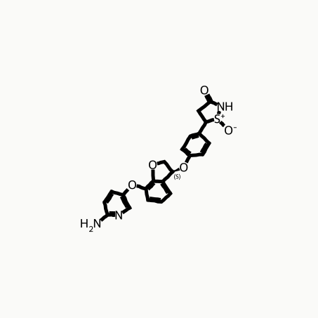 Nc1ccc(Oc2cccc3c2OC[C@H]3Oc2ccc(C3CC(=O)N[S+]3[O-])cc2)cn1